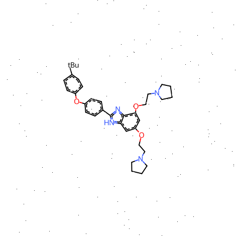 CC(C)(C)c1ccc(Oc2ccc(-c3nc4c(OCCN5CCCC5)cc(OCCN5CCCC5)cc4[nH]3)cc2)cc1